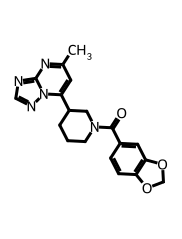 Cc1cc(C2CCCN(C(=O)c3ccc4c(c3)OCO4)C2)n2ncnc2n1